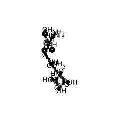 N=C(N)NCCC[C@@H](NC(=O)[C@H](c1ccccc1)c1cccc(OCCCCNC(=O)[C@H](N)CCCCNC(C=O)N2CCN(CC(=O)O)CCN(CC(=O)O)CCN(CC(=O)O)CC2)c1)C(=O)NCc1ccc(O)cc1